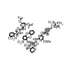 CCS(=O)(=O)c1cccnc1S(=O)(=O)NC(=O)Nc1nc(OC)cc(OC)n1.C[S+](C)C.Nc1c([N+](=O)[O-])ccc(Oc2ccccc2)c1Cl.O=C(Nc1nc(OC(F)F)cc(OC(F)F)n1)NS(=O)(=O)c1ccccc1C(=O)O.O=C(O)CNCP(=O)([O-])O